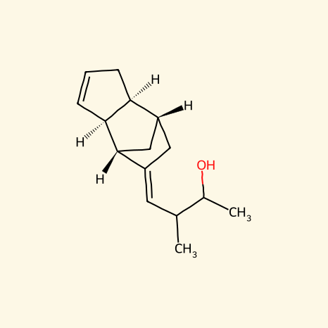 CC(O)C(C)/C=C1\C[C@@H]2C[C@H]1[C@H]1C=CC[C@@H]21